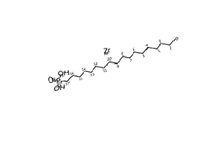 CCCCCCCCCCCCCCCCCCP(=O)(O)O.[Zr]